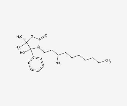 CCCCCCCC(N)CCN1C(=O)OC(C)(C)C1(O)c1ccccc1